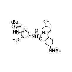 CC(=O)NC1CCC([C@@H]2CC[C@@H](C)CN2C(=O)C(=O)Nc2cnc(NC(=O)OC(C)(C)C)c(C)c2)CC1